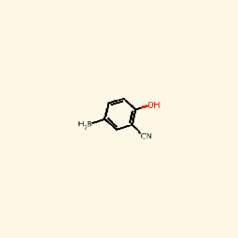 Bc1ccc(O)c(C#N)c1